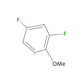 COc1[c]cc(F)cc1F